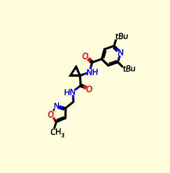 Cc1cc(CNC(=O)C2(NC(=O)c3cc(C(C)(C)C)nc(C(C)(C)C)c3)CC2)no1